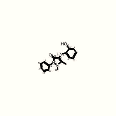 Cc1c(Nc2ccccc2O)c(=O)n(-c2ccccc2)n1C